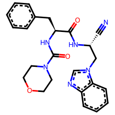 N#C[C@H](Cn1cnc2ccccc21)NC(=O)[C@H](Cc1ccccc1)NC(=O)N1CCOCC1